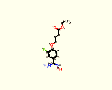 CCOC(=O)CCCOc1ccc(C(N)=NO)cc1F